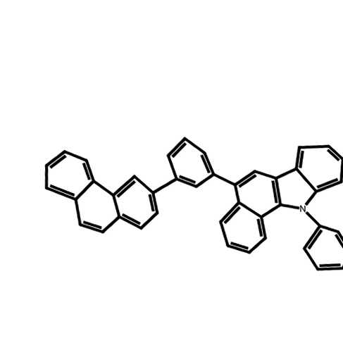 c1ccc(-n2c3ccccc3c3cc(-c4cccc(-c5ccc6ccc7ccccc7c6c5)c4)c4ccccc4c32)cc1